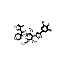 CO[C@@H]1[C@@H](n2cc(-c3cc(F)c(F)c(F)c3)nn2)[C@@H](O)[C@@H](CO)O[C@H]1SC(c1nocc1C)C1(O)CCOCC1